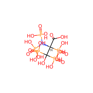 O=C(O)[C@@](N(P(=O)(O)O)P(=O)(O)O)(C(O)(P(=O)(O)O)P(=O)(O)O)P(=O)(O)O